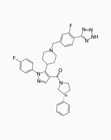 O=C(c1cnn(-c2ccc(F)cc2)c1C1CCN(Cc2ccc(-c3nn[nH]n3)c(F)c2)CC1)N1CC[C@H](c2ccccc2)C1